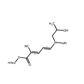 CCCCCCOC(=O)/C(C#N)=C/C=C/N(CCC)CC(C)O